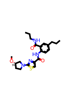 CCCNC(=O)c1cc(CCC)ccc1NC(=O)c1csc(N2CC[C@H](OC)C2)n1